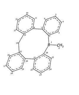 CB1c2ccccc2-c2ccccc2Cc2ccccc2-c2ccccc21